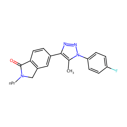 CCCN1Cc2cc(-c3nnn(-c4ccc(F)cc4)c3C)ccc2C1=O